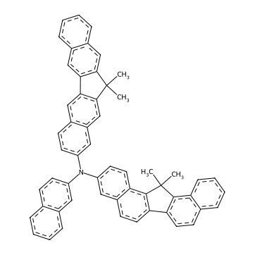 CC1(C)c2cc3ccccc3cc2-c2cc3ccc(N(c4ccc5ccccc5c4)c4ccc5c6c(ccc5c4)-c4ccc5ccccc5c4C6(C)C)cc3cc21